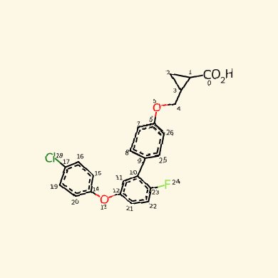 O=C(O)C1CC1COc1ccc(-c2cc(Oc3ccc(Cl)cc3)ccc2F)cc1